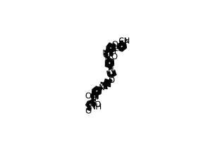 N#Cc1c(F)ccc(F)c1Oc1ccc2ncn(-c3ccc(N4CCC(OC5CC6(C5)CN(c5ccc7c(c5)CN(C5CCC(=O)NC5=O)C7=O)C6)CC4)cc3)c(=O)c2c1